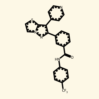 O=C(Nc1ccc(C(F)(F)F)cc1)c1cccc(-c2nn3ccsc3c2-c2ccncc2)c1